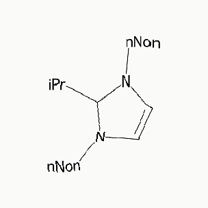 CCCCCCCCCN1C=CN(CCCCCCCCC)C1C(C)C